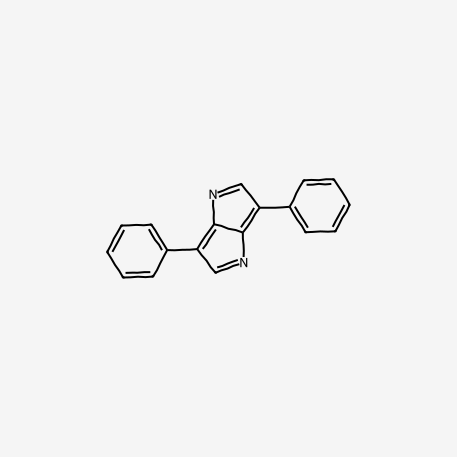 C1=NC2=C(c3ccccc3)C=NC2=C1c1ccccc1